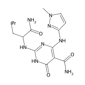 CC(C)CC(Nc1nc(Nc2ccn(C)n2)c(C(N)=O)c(=O)[nH]1)C(N)=O